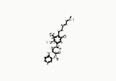 CNCCCCCc1c(Cl)cc(C(=O)N[C@@H](Cc2ccccc2)C(=O)OC)c(O)c1Cl